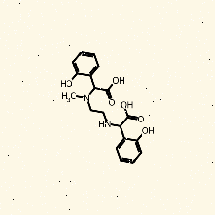 CN(CCNC(C(=O)O)c1ccccc1O)C(C(=O)O)c1ccccc1O